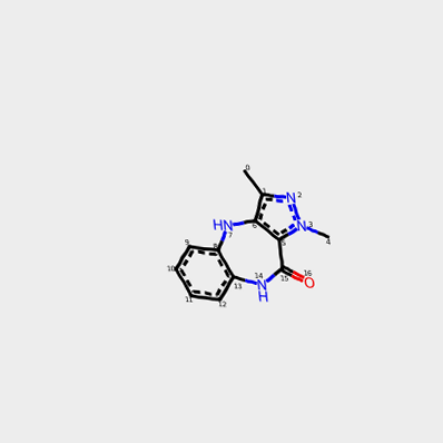 Cc1nn(C)c2c1Nc1ccccc1NC2=O